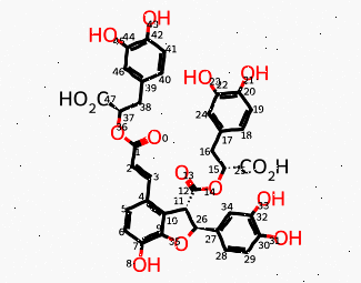 O=C(/C=C/c1ccc(O)c2c1[C@H](C(=O)O[C@H](Cc1ccc(O)c(O)c1)C(=O)O)[C@@H](c1ccc(O)c(O)c1)O2)O[C@H](Cc1ccc(O)c(O)c1)C(=O)O